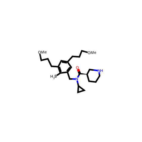 Bc1c(CCCOC)cc(CCCOC)cc1CN(C(=O)[C@@H]1CCCNC1)C1CC1